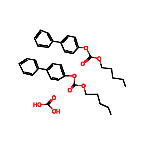 CCCCCOC(=O)Oc1ccc(-c2ccccc2)cc1.CCCCCOC(=O)Oc1ccc(-c2ccccc2)cc1.O=C(O)O